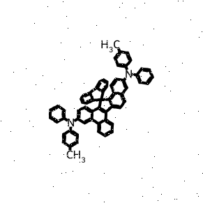 Cc1ccc(N(c2ccccc2)c2ccc3c4c(ccc3c2)-c2c(c3ccc(N(c5ccccc5)c5ccc(C)cc5)cc3c3ccccc23)C42c3ccccc3-c3ccccc32)cc1